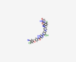 Cl.N#Cc1ccc(OC2CCC(NC(=O)c3cnc(N4CCC(CN5CCC(n6ncc7c(N8CCC(=O)NC8=O)c(F)ccc76)CC5)CC4)cn3)CC2)cc1Cl